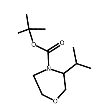 CC(C)C1COCCN1C(=O)OC(C)(C)C